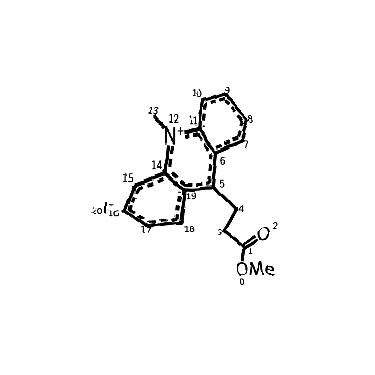 COC(=O)CCc1c2ccccc2[n+](C)c2ccccc12.[I-]